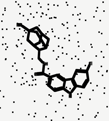 O=C(NCC1C2CC3CC1CC(O)(C3)C2)c1ccc2[nH]c3ccc(Cl)cc3c2c1